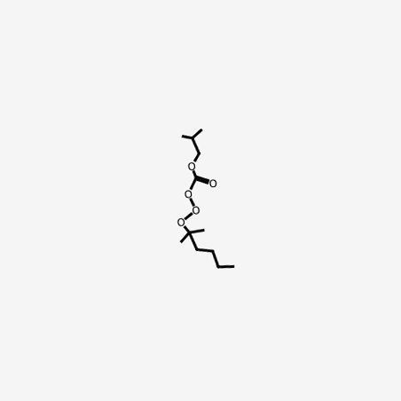 CCCCC(C)(C)OOOC(=O)OCC(C)C